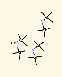 C[Si](C)(C)[N-][Si](C)(C)C.C[Si](C)(C)[N-][Si](C)(C)C.C[Si](C)(C)[N-][Si](C)(C)C.[Tm+3]